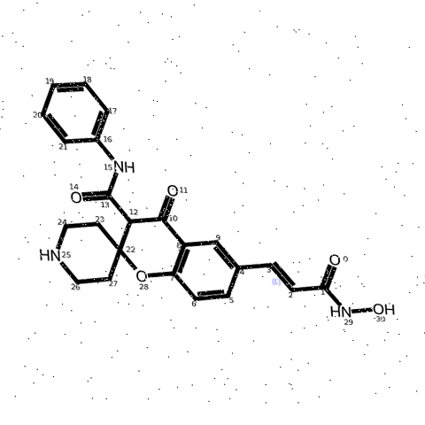 O=C(/C=C/c1ccc2c(c1)C(=O)C(C(=O)Nc1ccccc1)C1(CCNCC1)O2)NO